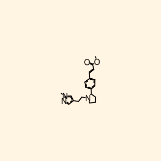 COC(=O)C=Cc1ccc(C2CCCN2CCc2cnn(C)c2)cc1